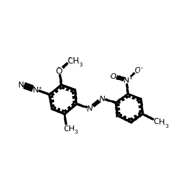 COc1cc(/N=N/c2ccc(C)cc2[N+](=O)[O-])c(C)cc1[N+]#N